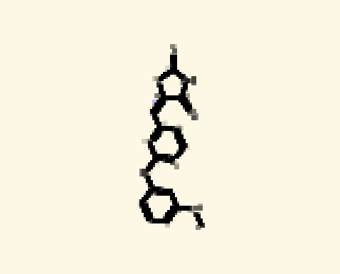 COc1cccc(Nc2nccc(/C=C3/SC(=O)NC3=O)n2)c1